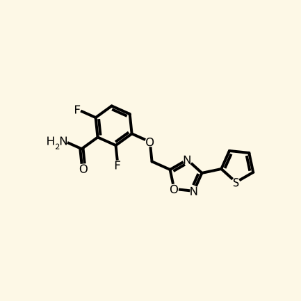 NC(=O)c1c(F)ccc(OCc2nc(-c3cccs3)no2)c1F